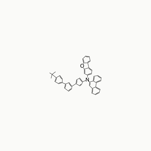 CC(C)(C)c1ccc(-c2cccc(-c3ccc(N(c4ccc5c(c4)oc4ccccc45)c4cc5ccccc5c5ccccc45)cc3)c2)cc1